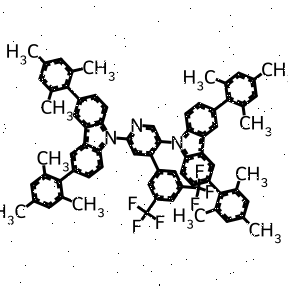 Cc1cc(C)c(-c2ccc3c(c2)c2cc(-c4c(C)cc(C)cc4C)ccc2n3-c2cc(-c3cc(C(F)(F)F)cc(C(F)(F)F)c3)c(-n3c4ccc(-c5c(C)cc(C)cc5C)cc4c4cc(-c5c(C)cc(C)cc5C)ccc43)cn2)c(C)c1